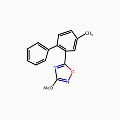 COc1noc(-c2cc(C)ccc2-c2ccccc2)n1